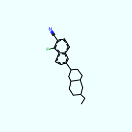 CCC1CCC2CC(c3ccc4c(F)c(C#N)ccc4c3)CCC2C1